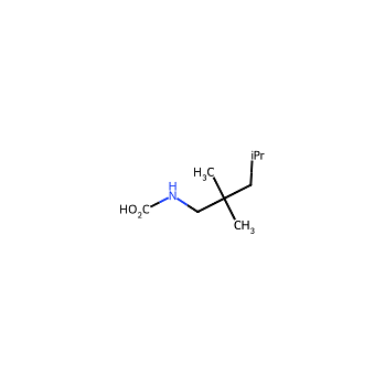 CC(C)CC(C)(C)CNC(=O)O